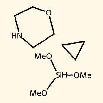 C1CC1.C1COCCN1.CO[SiH](OC)OC